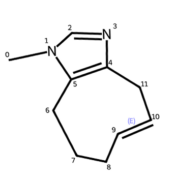 Cn1cnc2c1CCC/C=C/C2